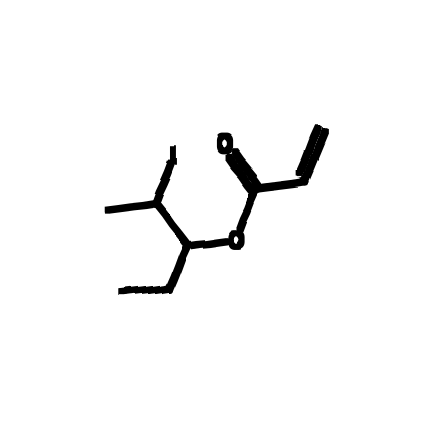 C=CC(=O)OC(CC)C(C)I